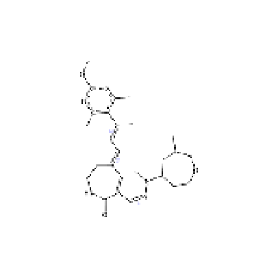 COc1cc(C)c(/C(C)=C/C=C2C=C(/C=N\N(C)C3CCOCC(C)C3)C(=O)NCC/2)c(C)n1